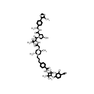 Cc1ncsc1-c1ccc([C@H](C)NC(=O)C2C[C@@H](O)CN2C(=O)[C@@H](NC(=O)CN2C[C@@H](C)N(CCCc3ccc(C(=O)N[C@H]4C(C)(C)[C@H](Oc5ccc(C#N)c(Cl)c5)C4(C)C)cc3)C[C@@H]2C)C(C)(C)C)cc1